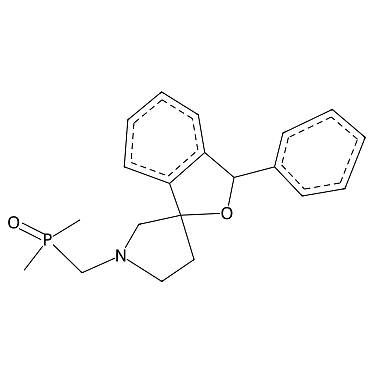 CP(C)(=O)CN1CCC2(C1)OC(c1ccccc1)c1ccccc12